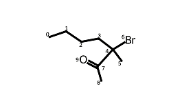 CCCCC(C)(Br)C(C)=O